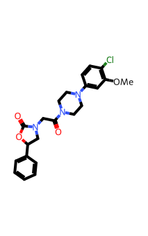 COc1cc(N2CCN(C(=O)CN3CC(c4ccccc4)OC3=O)CC2)ccc1Cl